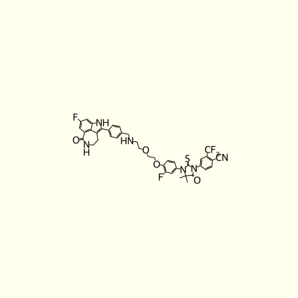 CC1(C)C(=O)N(c2ccc(C#N)c(C(F)(F)F)c2)C(=S)N1c1ccc(OCCOCCNCc2ccc(-c3[nH]c4cc(F)cc5c4c3CCNC5=O)cc2)c(F)c1